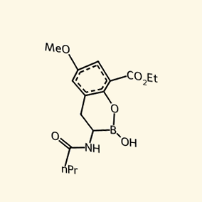 CCCC(=O)NC1Cc2cc(OC)cc(C(=O)OCC)c2OB1O